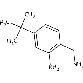 CC(C)(C)c1ccc(CN)c(N)c1